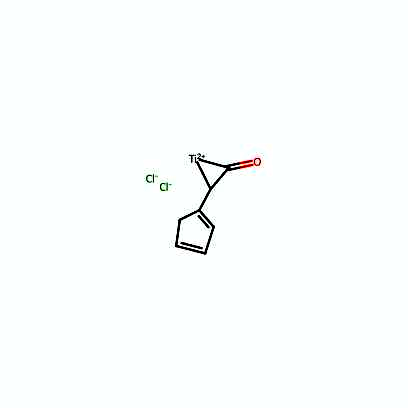 O=[C]1[Ti+2][CH]1C1=CC=CC1.[Cl-].[Cl-]